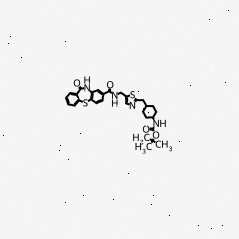 CC(C)(C)OC(=O)NC1CCC(Cc2ncc(CNC(=O)c3ccc4c(c3)NC(=O)c3ccccc3S4)s2)CC1